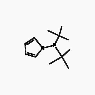 CC(C)(C)P(n1cccc1)C(C)(C)C